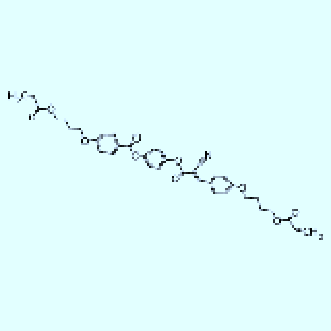 C=CC(=O)OCCCCOc1ccc(/C=C(\C#N)C(=O)Oc2ccc(OC(=O)c3ccc(OCCCCOC(=O)C=C)cc3)cc2)cc1